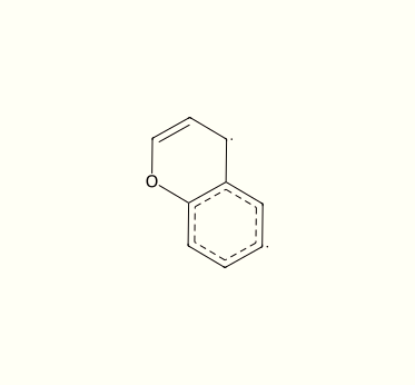 [c]1ccc2c(c1)[CH]C=CO2